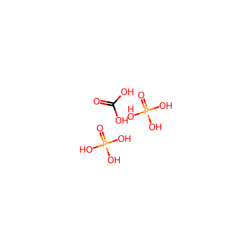 O=C(O)O.O=P(O)(O)O.O=P(O)(O)O